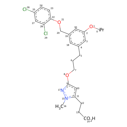 CC(C)Oc1cc(CCCOc2cc(CCC(=O)O)n(C)n2)cc(COc2ccc(Cl)cc2Cl)c1